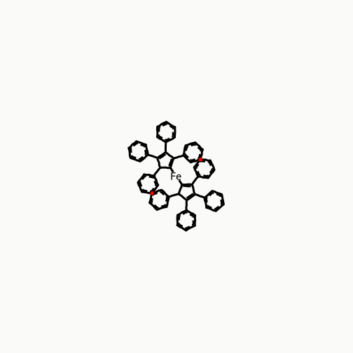 c1ccc(C2=[C]([Fe][C]3=C(c4ccccc4)C(c4ccccc4)=C(c4ccccc4)C3c3ccccc3)C(c3ccccc3)C(c3ccccc3)=C2c2ccccc2)cc1